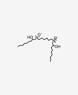 CCCCCCCC(O)C[N+](C)([O-])CCCCCC[N+](C)([O-])CC(O)CCCCCCC